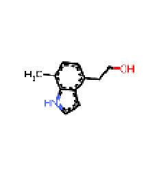 Cc1ccc(CCO)c2cc[nH]c12